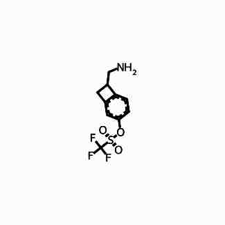 NCC1Cc2cc(OS(=O)(=O)C(F)(F)F)ccc21